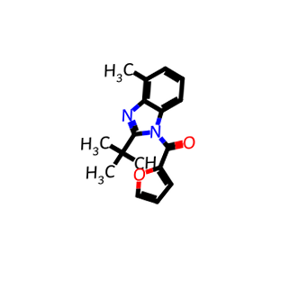 Cc1cccc2c1nc(C(C)(C)C)n2C(=O)c1ccco1